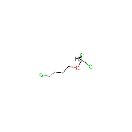 ClCCCCO[SiH](Cl)Cl